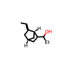 CC=C1C[C@H]2CC(C(O)CC)[C@@H]1C2